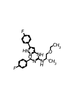 CCOC[C@H](C)N/C(=N/C(=O)c1ccc(F)cc1)Nc1cc(-c2ccc(F)cc2)[nH]n1